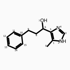 Cc1[nH]cnc1C(O)CCc1ccccc1